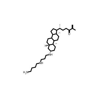 C=C(C)C(=O)CC[C@@H](C)C1CCC2C3CC[C@H]4C[C@@H](NCCCNCCCCN)CC[C@]4(C)C3CC[C@@]21C